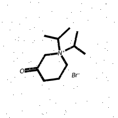 CC(C)[N+]1(C(C)C)CCCC(=O)C1.[Br-]